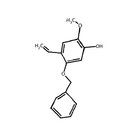 C=Cc1cc(OC)c(O)cc1OCc1ccccc1